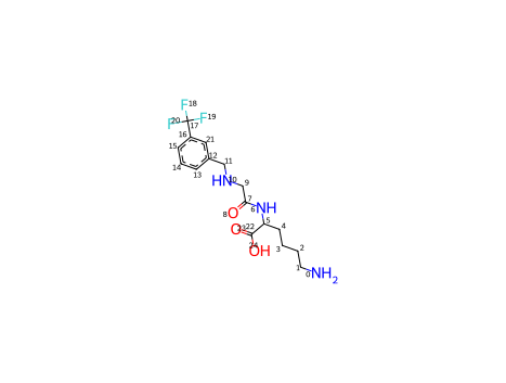 NCCCCC(NC(=O)CNCc1cccc(C(F)(F)F)c1)C(=O)O